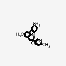 Cc1cc2c3c(c1)c1c(n3CC(C)(c3ccc(C)nc3)C2)CCN(C)C1